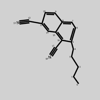 CCCCCc1ccc2ccc(C#N)cc2c1C#N